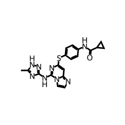 Cc1nc(Nc2nc(Sc3ccc(NC(=O)C4CC4)cc3)cc3nccn23)n[nH]1